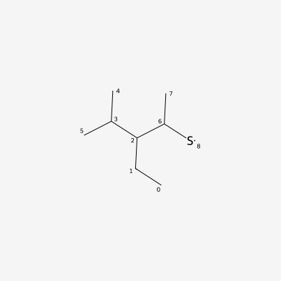 CCC(C(C)C)C(C)[S]